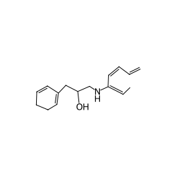 C=C/C=C\C(=C/C)NCC(O)CC1=CCCC=C1